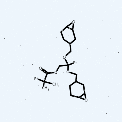 CCC(COC(=O)C(C)(C)CC)(OCC1CCC2OC2C1)OCC1CCC2OC2C1